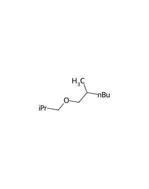 CCCCC(C)COCC(C)C